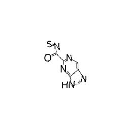 O=C(N=S)c1ncc2nc[nH]c2n1